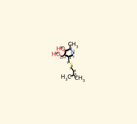 Cc1ncc(CSCCC(C)C)c(CO)c1O